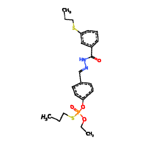 CCCSc1cccc(C(=O)NN=Cc2ccc(OP(=O)(OCC)SCCC)cc2)c1